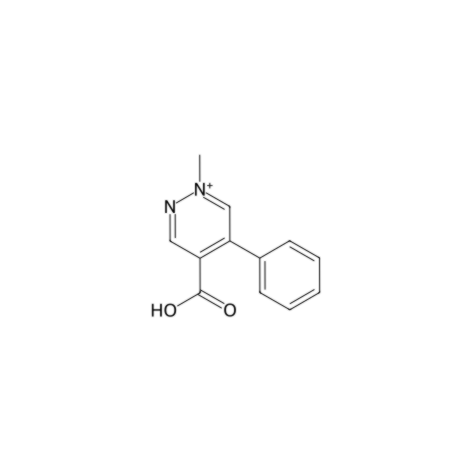 C[n+]1cc(-c2ccccc2)c(C(=O)O)cn1